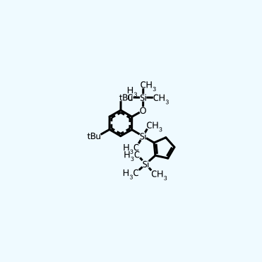 CC(C)(C)c1cc(C(C)(C)C)c(O[Si](C)(C)C)c([Si](C)(C)C2=C([Si](C)(C)C)C=CC2)c1